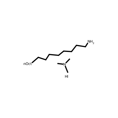 CCCCCCCCCCCCCCCCN.CN(C)C.I